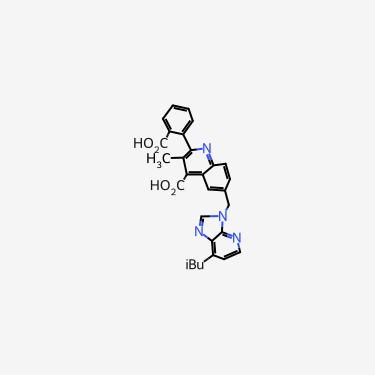 CCC(C)c1ccnc2c1ncn2Cc1ccc2nc(-c3ccccc3C(=O)O)c(C)c(C(=O)O)c2c1